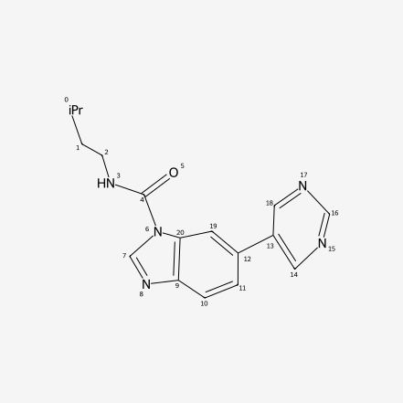 CC(C)CCNC(=O)n1cnc2ccc(-c3cncnc3)cc21